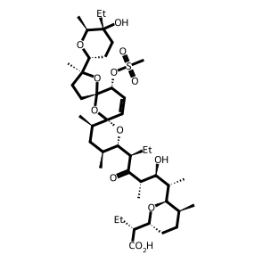 CC[C@@H](C(=O)[C@@H](C)[C@@H](O)[C@H](C)[C@@H]1O[C@@H]([C@@H](CC)C(=O)O)CC[C@@H]1C)[C@H]1O[C@]2(C=C[C@@H](OS(C)(=O)=O)[C@]3(CC[C@@](C)([C@H]4CC[C@](O)(CC)[C@H](C)O4)O3)O2)[C@H](C)C[C@@H]1C